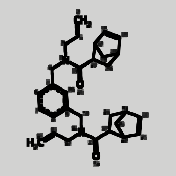 C=CCN(Cc1cccc(CN(CC=C)C(=O)C2CC3C=CC2C3)c1)C(=O)C1CC2C=CC1C2